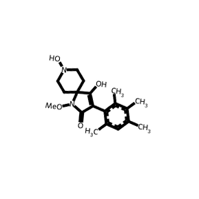 CON1C(=O)C(c2c(C)cc(C)c(C)c2C)=C(O)C12CCN(O)CC2